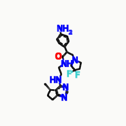 C[C@@H]1CCc2ncnc(NCCNC(=O)C(CN3CCC(F)(F)C3)c3ccc(N)cc3)c21